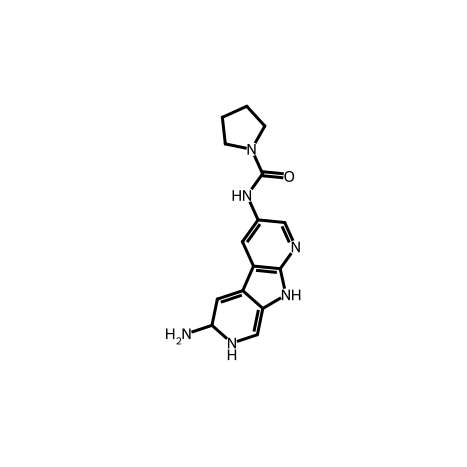 NC1C=c2c([nH]c3ncc(NC(=O)N4CCCC4)cc23)=CN1